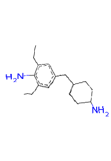 CCc1cc(CC2CCC(N)CC2)cc(CC)c1N